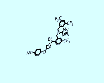 CCC(c1ccc(C(F)(F)F)cc1CN(Cc1cc(C(F)(F)F)cc(C(F)(F)F)c1)c1nnn(C)n1)N1CC(Oc2ccc(C#N)cc2)C1